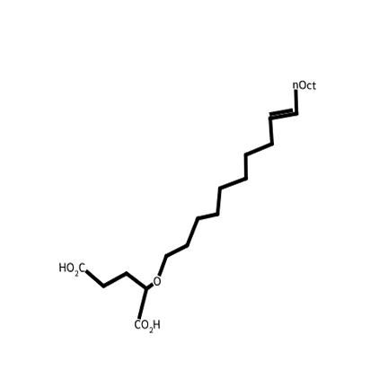 CCCCCCCCC=CCCCCCCCCOC(CCC(=O)O)C(=O)O